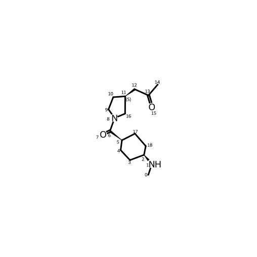 CN[C@H]1CC[C@@H](C(=O)N2CC[C@@H](CC(C)=O)C2)CC1